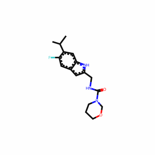 CC(C)c1cc2[nH]c(CNC(=O)N3CCCOC3)cc2cc1F